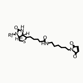 O=C(CCCCC1SC[C@H]2[C@@H]1NC(=O)[N]2[Rf])NCCCCCCN1C(=O)C=CC1=O